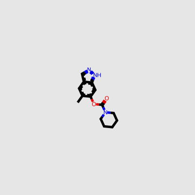 Cc1cc2cn[nH]c2cc1OC(=O)N1CCCCC1